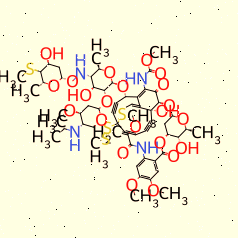 C=C(OC)C(=O)Nc1cc(OC)c(OC)cc1C(=O)O[C@H]1CC(O[C@@H]2C(=O)C(NC(=O)OC)=C3/C4=C\CSC(SSC)(C#C[C@@H]3O[C@@H]3O[C@H](C)[C@@H](NO[C@H]5C[C@H](O)[C@H](SC)[C@@H](C)O5)[C@H](O)[C@H]3O[C@H]3C[C@H](OC)[C@@H](NC(C)C)CO3)/C=C\C#C[C@@]42O)O[C@@H](C)[C@@H]1O